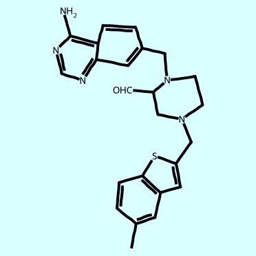 Cc1ccc2sc(CN3CCN(Cc4ccc5c(N)ncnc5c4)C(C=O)C3)cc2c1